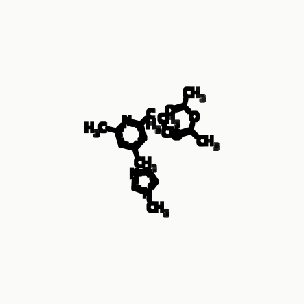 CC#N.CC(=O)OC(C)=O.Cc1cc(C)nc(C)c1.Cn1ccnc1